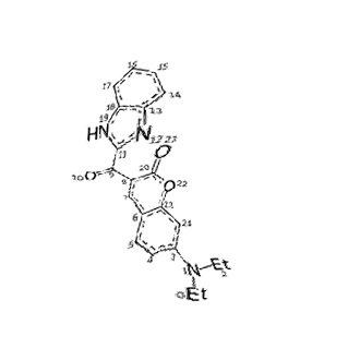 CCN(CC)c1ccc2cc(C(=O)c3nc4ccccc4[nH]3)c(=O)oc2c1